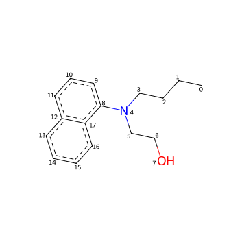 CCCCN(CCO)c1cccc2ccccc12